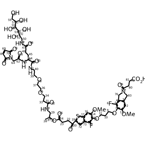 COc1cc2c(c(F)c1OCCCOc1c(OC)cc3sc(C(=O)CCC(=O)O[C@@H](C)CNC(=O)CCOCCOCCNC(=O)[C@H](CCC(=O)NC[C@H](O)[C@@H](O)[C@H](O)[C@H](O)CO)NC(=O)CN4C(=O)C=CC4=O)cc3c1F)CN(C(=O)CCC(=O)O)C2